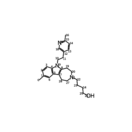 Cc1ccc2c(c1)c1c(n2CCc2ccc(C)nc2)CCN(CCCCO)CC1